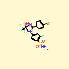 NS(=O)(=O)c1ccc(N2CC(O)(C(F)(F)F)N=C2c2ccc(Br)cc2)cc1F